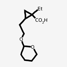 CCC1(C(=O)O)CC1CCOC1CCCCO1